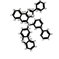 c1ccc(-c2cccc(N(c3ccc4sc5ccccc5c4c3)c3cc4ccccc4c4nc(-c5ccccc5)oc34)c2)cc1